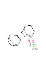 C1CN2CCC1CC2.C1CN2CCC1CC2.Cl.Cl.O